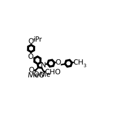 COC(=O)c1c(C(C=O)OC)n(-c2ccc(OCc3ccc(C)cc3)cc2)c2ccc(Oc3ccc(OC(C)C)cc3)cc12